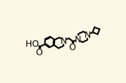 O=C(O)c1ccc2c(c1)CCN(CC(=O)N1CCN(C3CCC3)CC1)C2